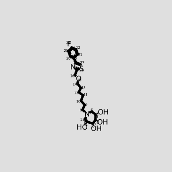 O[C@H]1[C@H](O)[C@@H](O)CN(CCCCCCCOCc2nc(-c3ccc(F)cc3)cs2)C[C@@H]1O